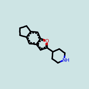 c1c(C2CCNCC2)oc2cc3c(cc12)CCC3